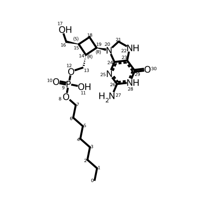 CCCCCCCCOP(=O)(O)OC[C@@H]1[C@@H](CO)C[C@H]1N1CNc2c1nc(N)[nH]c2=O